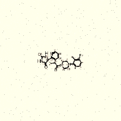 Cc1c(F)cccc1N1CCN(C(=O)CC[C@@]2(c3ccccn3)NC(=O)NC2=O)CC1